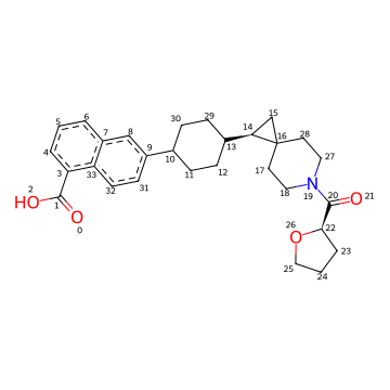 O=C(O)c1cccc2cc(C3CCC([C@H]4CC45CCN(C(=O)[C@H]4CCCO4)CC5)CC3)ccc12